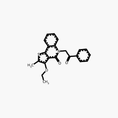 CCOc1c(C)sc2c1c(=O)n(CC(=O)c1ccccc1)c1ccccc21